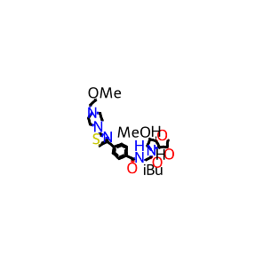 CC[C@H](C)[C@H](NC(=O)c1ccc(-c2csc(N3CCN(CCOC)CC3)n2)cc1)C(=O)N1C[C@@H](OC)[C@H]2OCC(=O)[C@H]21